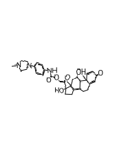 CN1CCN(c2ccc(NC(=O)OCC(=O)[C@@]3(O)CCC4C5CCC6=CC(=O)C=CC6(C)C5[C@@H](O)CC43C)cc2)CC1